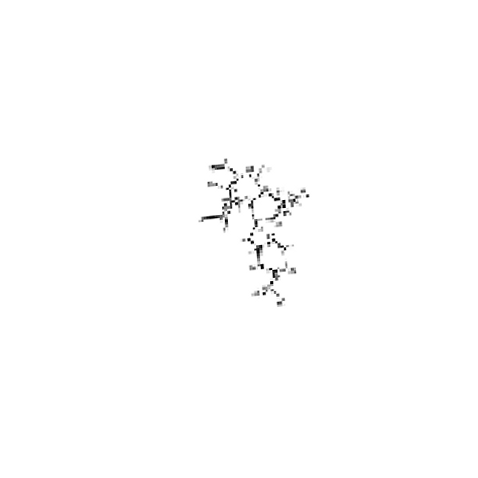 C[C](C)=[Zr+2]([C]1=CC=CC1)[c]1c(C(C)C)ccc2c1Cc1cc(C(C)C)ccc1-2.[Cl-].[Cl-]